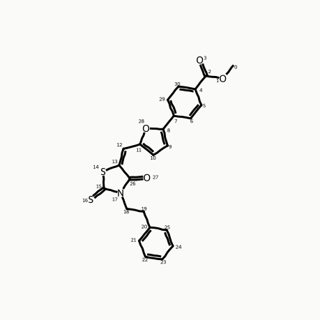 COC(=O)c1ccc(-c2ccc(/C=C3/SC(=S)N(CCc4ccccc4)C3=O)o2)cc1